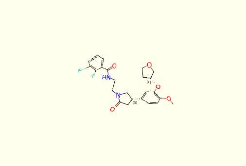 COc1ccc([C@@H]2CC(=O)N(CCNC(=O)c3cccc(F)c3F)C2)cc1O[C@@H]1CCOC1